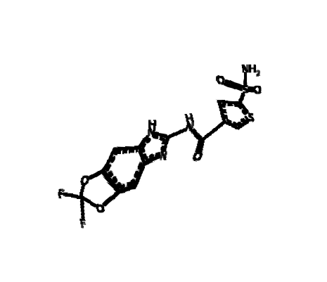 NS(=O)(=O)c1cc(C(=O)Nc2nc3cc4c(cc3[nH]2)OC(F)(F)O4)cs1